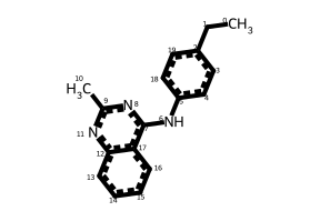 CCc1ccc(Nc2nc(C)nc3ccccc23)cc1